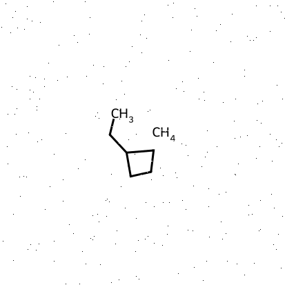 C.CCC1CCC1